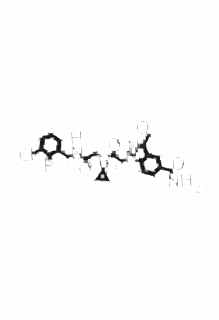 NC(=O)c1ccc2c(c1)c(C=O)nn2CC(=O)N(CC(=O)NCc1cccc(Cl)c1F)C1CC1